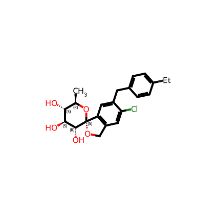 CCc1ccc(Cc2cc3c(cc2Cl)CO[C@]32O[C@H](C)[C@@H](O)[C@H](O)[C@H]2O)cc1